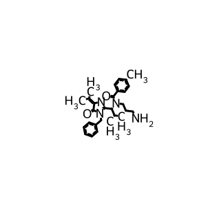 CC(C)=C1N=C(C(C(C)C)N(CCCN)C(=O)c2ccc(C)cc2)N(Cc2ccccc2)C1=O